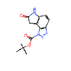 CC(C)(C)OC(=O)n1nnc2ccc3c(c21)CC(=O)N3